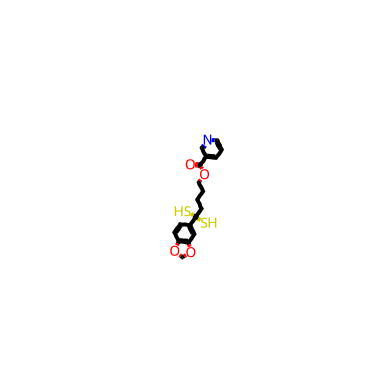 O=C(OCCCCC(S)(S)c1ccc2c(c1)OCO2)c1cccnc1